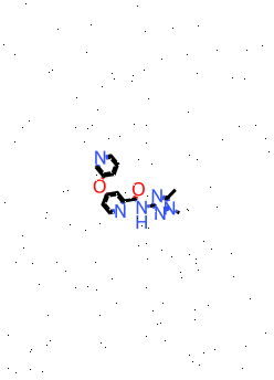 Cc1nc(NC(=O)c2cc(Oc3cccnc3)ccn2)nn1C